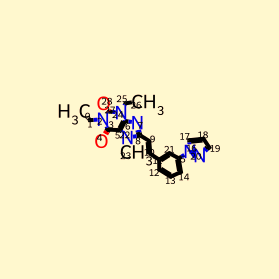 CCn1c(=O)c2c(nc(/C=C/c3cccc(-n4cccn4)c3)n2C)n(CC)c1=O